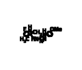 COc1cccc(Nc2cc(NCCc3c(C)[nH]c4c(F)ccc(C)c34)ncn2)c1